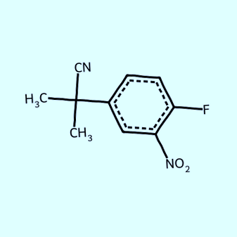 CC(C)(C#N)c1ccc(F)c([N+](=O)[O-])c1